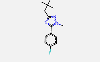 Cn1nc(CC(C)(C)C)nc1-c1ccc(F)cc1